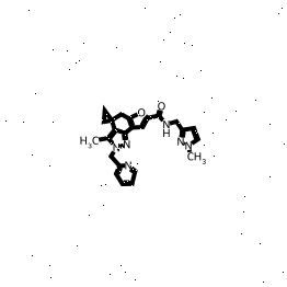 Cc1c2c(nn1Cc1ccccn1)-c1cc(C(=O)NCc3ccn(C)n3)oc1CC21CC1